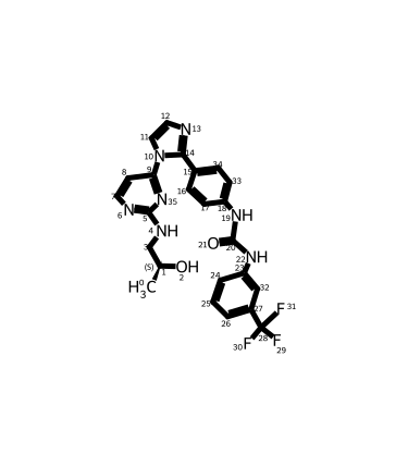 C[C@H](O)CNc1nccc(-n2ccnc2-c2ccc(NC(=O)Nc3cccc(C(F)(F)F)c3)cc2)n1